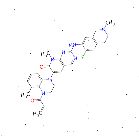 C=CC(=O)N1CCN(c2cc3cnc(Nc4cc5c(cc4F)CCN(C)C5)nc3n(C)c2=O)c2cccc(C)c21